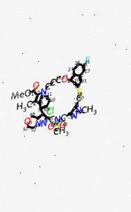 COC(=O)c1c(C)c2c3c(Cl)ccc2n1CCCOc1cc(cc2cc(F)ccc12)SCc1cc(nn1C)CN(S(C)(=O)=O)Cc1nn2c(c1-3)COCC2